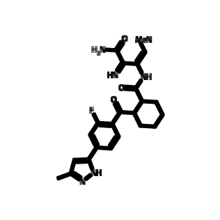 CN/C=C(/NC(=O)C1CCCCC1C(=O)c1ccc(-c2cc(C)n[nH]2)cc1F)C(=N)C(N)=O